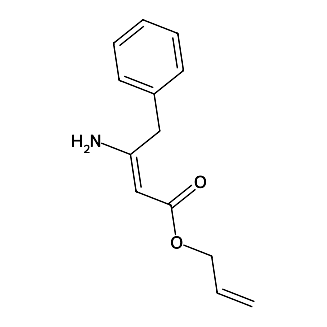 C=CCOC(=O)/C=C(/N)Cc1ccccc1